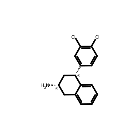 N[C@H]1Cc2ccccc2[C@@H](c2ccc(Cl)c(Cl)c2)C1